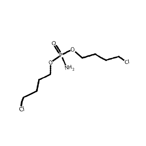 NP(=O)(OCCCCCl)OCCCCCl